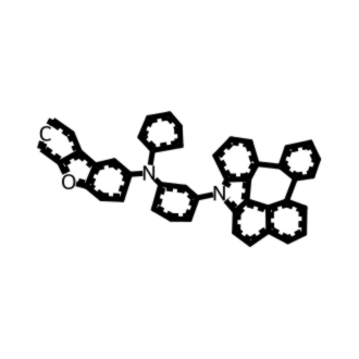 c1ccc(N(c2cccc(-n3c4cccc5c4c4c6c(cccc6ccc43)-c3ccccc3-5)c2)c2ccc3oc4ccccc4c3c2)cc1